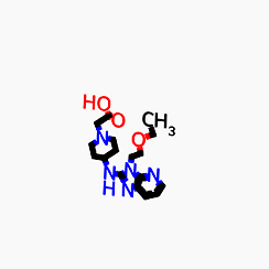 CCOCCn1c(NC2CCN(CC(=O)O)CC2)nc2cccnc21